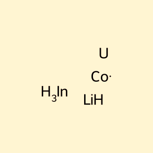 [Co].[InH3].[LiH].[U]